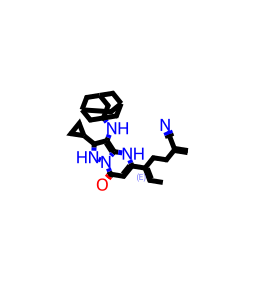 C=C(C#N)CC/C(=C\C)C1=CC(=O)N2NC(C3CC3)C(NC34CC5CC(CC(C5)C3)C4)=C2N1